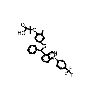 Cc1cc(SC(c2ccccc2)c2cccc3c2cnn3-c2ccc(C(F)(F)F)cc2)ccc1OC(C)(C)C(=O)O